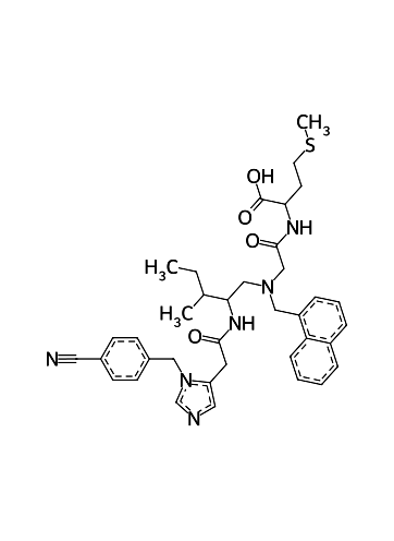 CCC(C)C(CN(CC(=O)NC(CCSC)C(=O)O)Cc1cccc2ccccc12)NC(=O)Cc1cncn1Cc1ccc(C#N)cc1